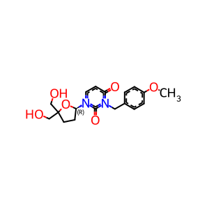 COc1ccc(Cn2c(=O)ccn([C@H]3CCC(CO)(CO)O3)c2=O)cc1